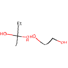 CCC(C)(O)O.OCCO